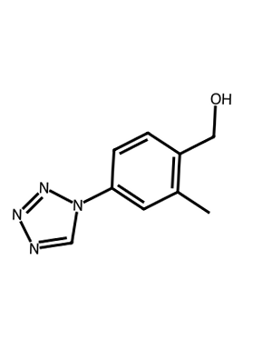 Cc1cc(-n2cnnn2)ccc1CO